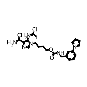 C=C(N)c1ncn(CCCCOC(=O)NCc2cccc(-n3cccc3)c2)c1/N=C(/Cl)I